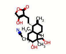 C=C1CC[C@@H]2[C@](C)(CO)[C@H](O)CC[C@@]2(C)[C@@H]1CCC1=C(O)COC1=O.CC#N